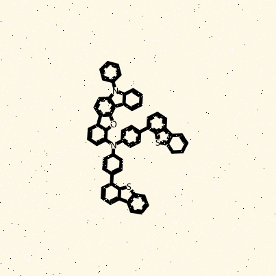 C1=CC(C2=CCC(N(C3=CC=CC4c5ccc6c(c5OC34)C3C=CC=CC3N6c3ccccc3)c3ccc(-c4cccc5c6c(sc45)CCC=C6)cc3)C=C2)C2Sc3ccccc3C2=C1